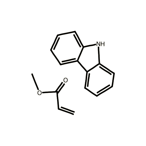 C=CC(=O)OC.c1ccc2c(c1)[nH]c1ccccc12